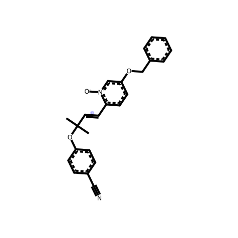 CC(C)(/C=C/c1ccc(OCc2ccccc2)c[n+]1[O-])Oc1ccc(C#N)cc1